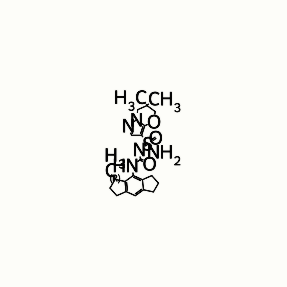 C[C@@H]1CCc2cc3c(c(NC(=O)N=S(N)(=O)c4cnn5c4OCC(C)(C)C5)c21)CCC3